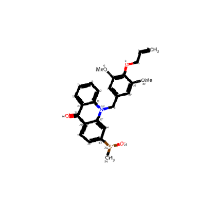 C=CCOc1c(OC)cc(Cn2c3ccccc3c(=O)c3ccc([S+](C)[O-])cc32)cc1OC